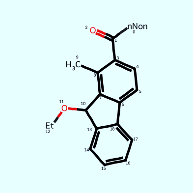 CCCCCCCCCC(=O)c1ccc2c(c1C)C(OCC)c1ccccc1-2